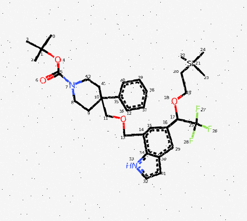 CC(C)(C)OC(=O)N1CCC(COCc2cc(C(OCC[Si](C)(C)C)C(F)(F)F)cc3cc[nH]c23)(c2ccccc2)CC1